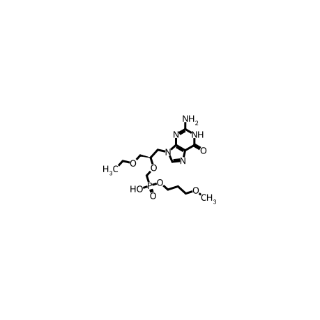 CCOC[C@@H](Cn1cnc2c(=O)[nH]c(N)nc21)OCP(=O)(O)OCCCOC